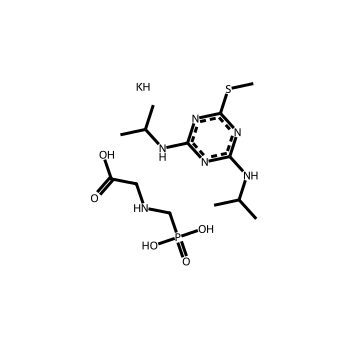 CSc1nc(NC(C)C)nc(NC(C)C)n1.O=C(O)CNCP(=O)(O)O.[KH]